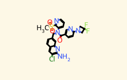 CS(=O)(=O)c1ncccc1N(Cc1ccc2cc(Cl)c(N)nc2c1)C(=O)c1ccc(N2CC(F)(F)C2)nc1